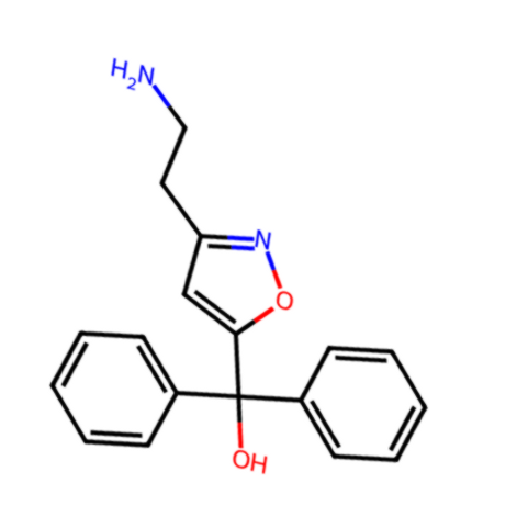 NCCc1cc(C(O)(c2ccccc2)c2ccccc2)on1